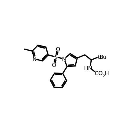 Cc1ccc(S(=O)(=O)n2cc(CC(NC(=O)O)C(C)(C)C)cc2-c2ccccc2)cn1